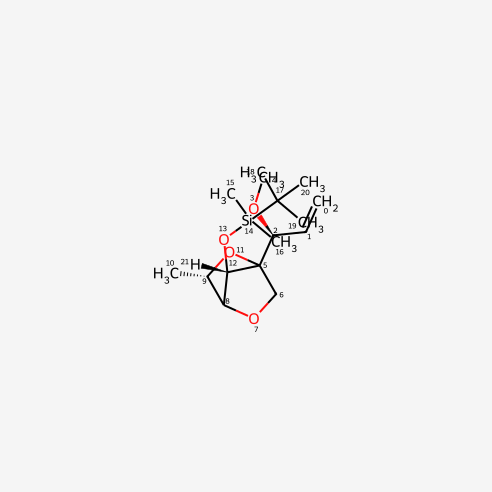 C=C[C@H](OC)C12COC([C@H](C)O1)[C@@H]2O[Si](C)(C)C(C)(C)C